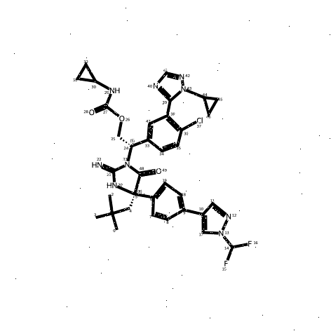 CC(C)(C)C[C@]1(c2ccc(-c3cnn(C(F)F)c3)cc2)NC(=N)N([C@H](COC(=O)NC2CC2)c2ccc(Cl)c(-c3ncnn3C3CC3)c2)C1=O